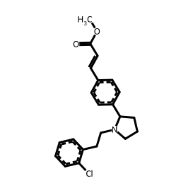 COC(=O)C=Cc1ccc(C2CCCN2CCc2ccccc2Cl)cc1